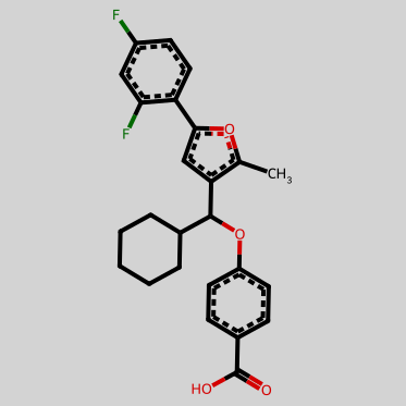 Cc1oc(-c2ccc(F)cc2F)cc1C(Oc1ccc(C(=O)O)cc1)C1CCCCC1